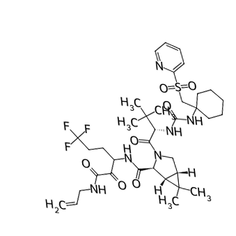 C=CCNC(=O)C(=O)C(CCC(F)(F)F)NC(=O)[C@@H]1[C@@H]2[C@H](CN1C(=O)[C@@H](NC(=O)NC1(CS(=O)(=O)c3ccccn3)CCCCC1)C(C)(C)C)C2(C)C